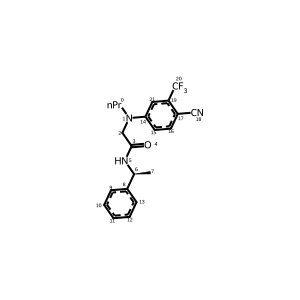 CCCN(CC(=O)N[C@@H](C)c1ccccc1)c1ccc(C#N)c(C(F)(F)F)c1